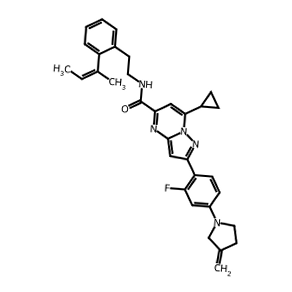 C=C1CCN(c2ccc(-c3cc4nc(C(=O)NCCc5ccccc5/C(C)=C\C)cc(C5CC5)n4n3)c(F)c2)C1